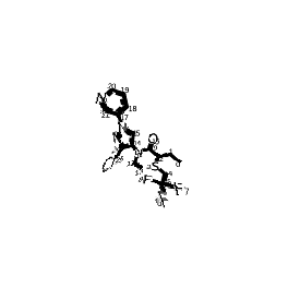 CCC(SCC(F)(F)F)C(=O)N(CC)c1cn(-c2cccnc2)nc1Cl